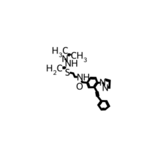 C=C(NN=C(C)C)SCCNC(=O)c1ccc(-n2cccn2)c(C#Cc2ccccc2)c1